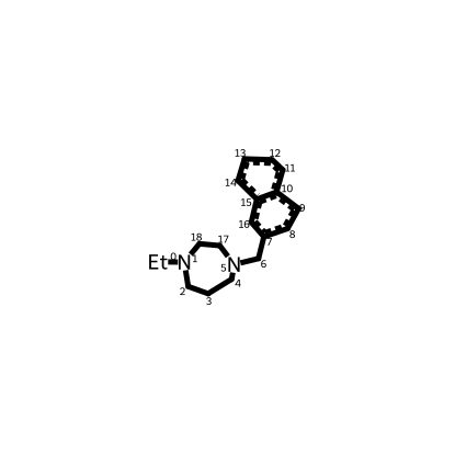 CCN1CCCN(Cc2ccc3ccccc3c2)CC1